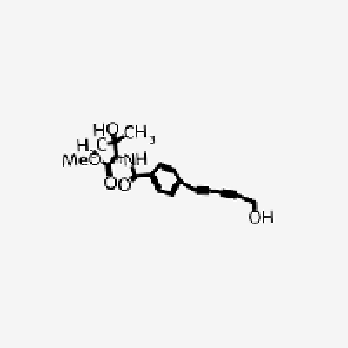 COC(=O)[C@@H](NC(=O)c1ccc(C#CC#CCO)cc1)C(C)(C)O